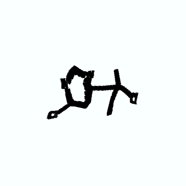 CC(C)(Cl)c1cc(Cl)ncn1